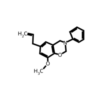 C=CCc1cc2c(c(OC)c1)OCN(c1ccccc1)C2